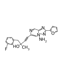 CC(O)(C#CC1=C[N+]2(N)N=C(c3ccco3)N=C2C=N1)Cc1cccc(F)c1